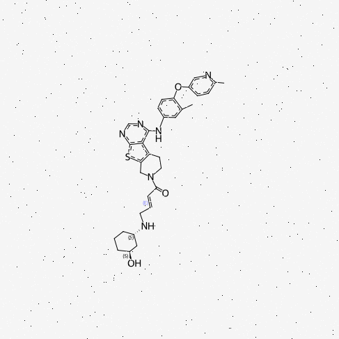 Cc1ccc(Oc2ccc(Nc3ncnc4sc5c(c34)CCN(C(=O)/C=C/CN[C@H]3CCC[C@H](O)C3)C5)cc2C)cn1